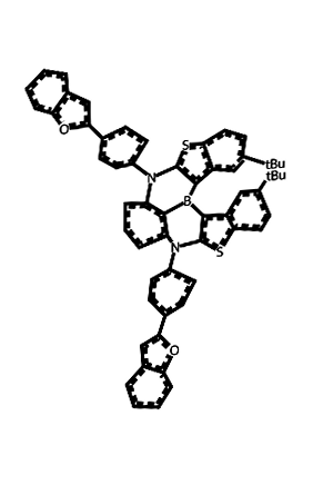 CC(C)(C)c1ccc2sc3c(c2c1)B1c2c(cccc2N(c2ccc(-c4cc5ccccc5o4)cc2)c2sc4ccc(C(C)(C)C)cc4c21)N3c1ccc(-c2cc3ccccc3o2)cc1